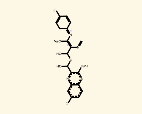 C=N/C(=C(\N=C1\C=CC(Cl)=CC1)OC)C(O)OC(O)c1nc2cc(Cl)ccc2nc1OC